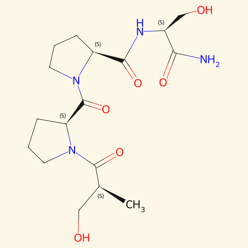 C[C@@H](CO)C(=O)N1CCC[C@H]1C(=O)N1CCC[C@H]1C(=O)N[C@@H](CO)C(N)=O